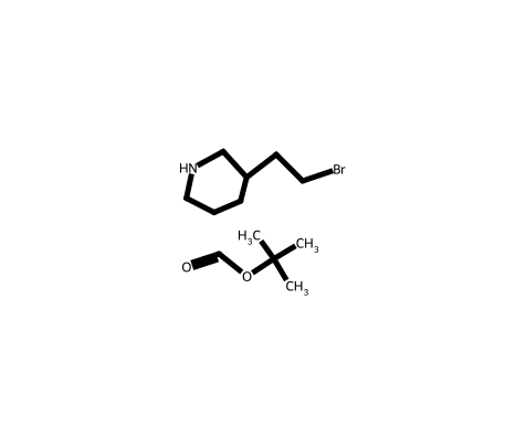 BrCCC1CCCNC1.CC(C)(C)OC=O